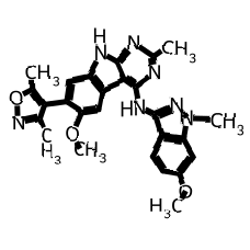 COc1ccc2c(Nc3nc(C)nc4[nH]c5cc(-c6c(C)noc6C)c(OC)cc5c34)nn(C)c2c1